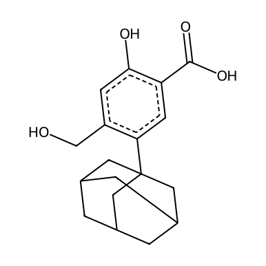 O=C(O)c1cc(C23CC4CC(CC(C4)C2)C3)c(CO)cc1O